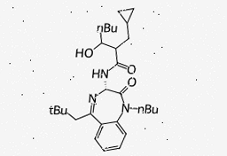 CCCCC(O)C(CC1CC1)C(=O)N[C@H]1N=C(CC(C)(C)C)c2ccccc2N(CCCC)C1=O